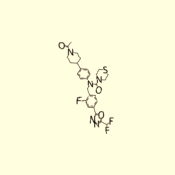 CC(=O)N1CCC(c2ccc(N(Cc3ccc(-c4nnc(C(F)F)o4)cc3F)C(=O)N3CCSCC3)cc2)CC1